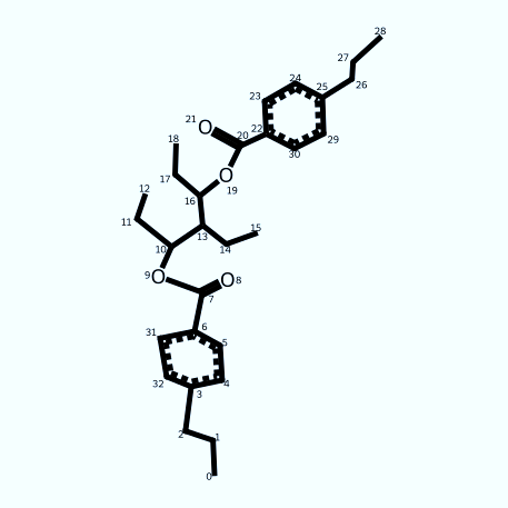 CCCc1ccc(C(=O)OC(CC)C(CC)C(CC)OC(=O)c2ccc(CCC)cc2)cc1